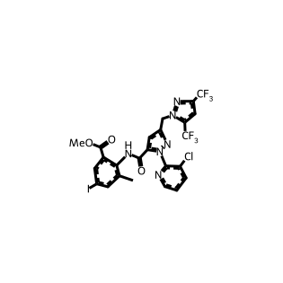 COC(=O)c1cc(I)cc(C)c1NC(=O)c1cc(Cn2nc(C(F)(F)F)cc2C(F)(F)F)nn1-c1ncccc1Cl